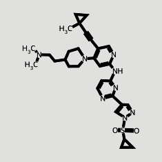 CN(C)CCC1CCN(c2cc(Nc3ccnc(-c4cnn(S(=O)(=O)C5CC5)c4)n3)ncc2C#CC2(C)CC2)CC1